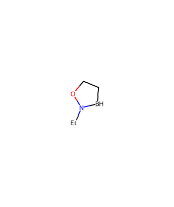 CCN1BCCO1